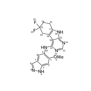 COc1cc2[nH]ncc2cc1Nc1ncnc2[nH]c3c(c12)CC(F)(F)CC3